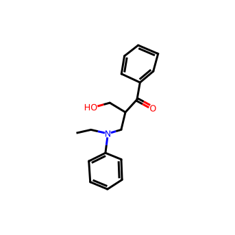 CCN(CC(CO)C(=O)c1ccccc1)c1ccccc1